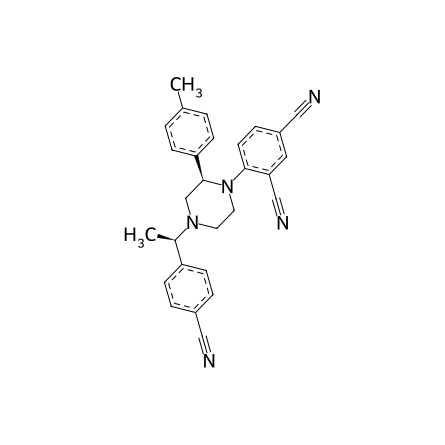 Cc1ccc([C@@H]2CN([C@H](C)c3ccc(C#N)cc3)CCN2c2ccc(C#N)cc2C#N)cc1